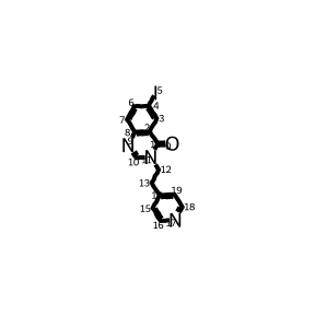 O=c1c2cc(I)ccc2ncn1CCc1ccncc1